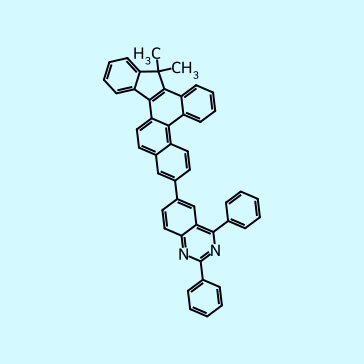 CC1(C)c2ccccc2-c2c1c1ccccc1c1c2ccc2cc(-c3ccc4nc(-c5ccccc5)nc(-c5ccccc5)c4c3)ccc21